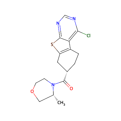 C[C@@H]1COCCN1C(=O)[C@H]1CCc2c(sc3ncnc(Cl)c23)C1